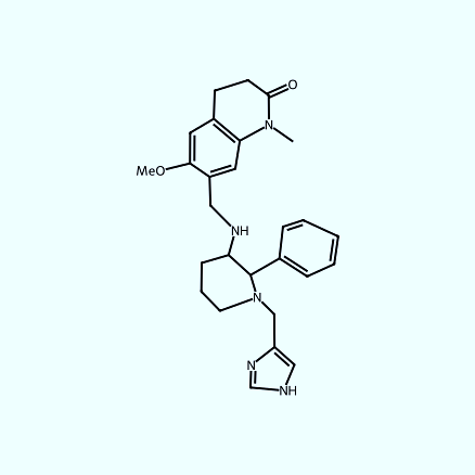 COc1cc2c(cc1CNC1CCCN(Cc3c[nH]cn3)C1c1ccccc1)N(C)C(=O)CC2